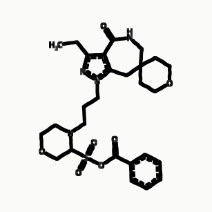 CCc1nn(CCCN2CCOCC2S(=O)(=O)OC(=O)c2ccccc2)c2c1C(=O)NCC1(CCOCC1)C2